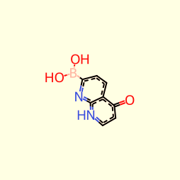 O=c1cc[nH]c2nc(B(O)O)ccc12